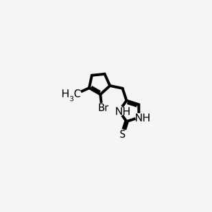 CC1=C(Br)C(Cc2c[nH]c(=S)[nH]2)CC1